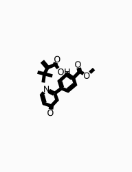 C=C(C(=O)O)C(C)(C)C.COC(=O)c1ccc(C2=NC=CC(=O)C2)cc1